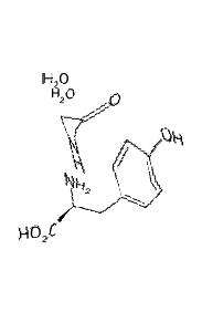 N[C@@H](Cc1ccc(O)cc1)C(=O)O.O.O.O=C1CN1